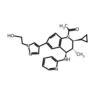 CC(=O)N1c2ccc(-c3cnn(CCO)c3)cc2[C@H](Nc2ccccn2)[C@@H](C)[C@@H]1C1CC1